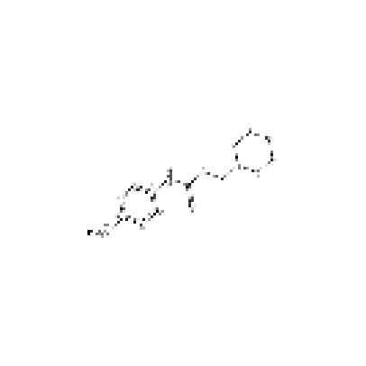 O=C(CCC1CCCCC1)Nc1ccc(C(=O)O)cc1